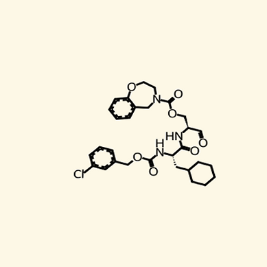 O=C[C@H](COC(=O)N1CCOc2ccccc2C1)NC(=O)[C@H](CC1CCCCC1)NC(=O)OCc1cccc(Cl)c1